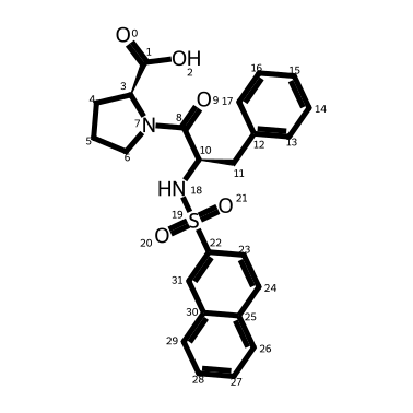 O=C(O)[C@@H]1CCCN1C(=O)[C@@H](Cc1ccccc1)NS(=O)(=O)c1ccc2ccccc2c1